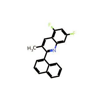 Cc1cc2c(F)cc(F)cc2nc1-c1cccc2ccccc12